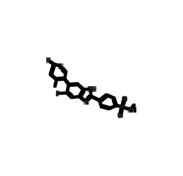 CNS(=O)(=O)c1ccc(-c2nc3cc(F)c(-c4cnc(F)cc4C)cc3[nH]2)cc1